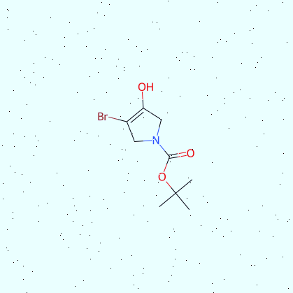 CC(C)(C)OC(=O)N1CC(O)=C(Br)C1